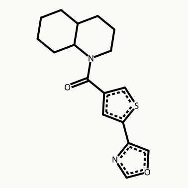 O=C(c1csc(-c2cocn2)c1)N1CCCC2CCCCC21